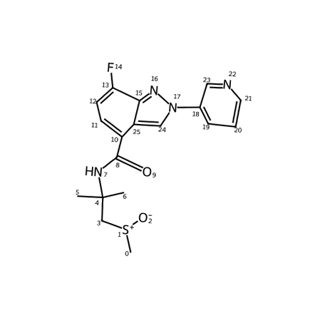 C[S+]([O-])CC(C)(C)NC(=O)c1ccc(F)c2nn(-c3cccnc3)cc12